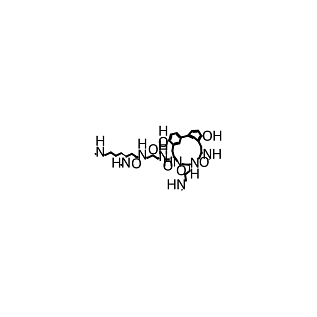 CNCCCC[C@@H](CC(=O)NCC(O)CNC(=O)[C@@H]1Cc2cc(ccc2O)-c2ccc(O)c(c2)C[C@H](NC)C(=O)N[C@@H](CCCNC)C(=O)N1)NC